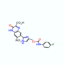 O=C(Nc1ccc(F)cc1)OCc1c[nH]c(-c2cc3nc(C(=O)O)c(=O)[nH]c3cc2[N+](=O)[O-])n1